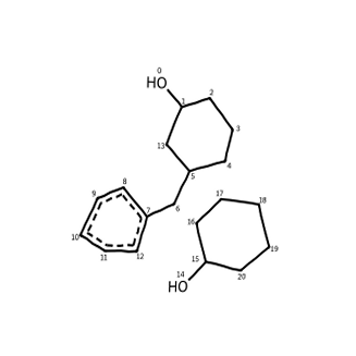 OC1CCCC(Cc2ccccc2)C1.OC1CCCCC1